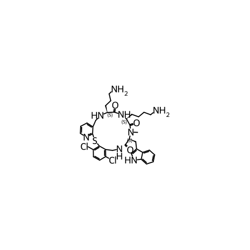 CN1C(=O)[C@H](CCCCN)NC(=O)[C@H](CCCN)NCc2cccnc2Sc2c(Cl)ccc(Cl)c2CNC(=O)[C@@H]1Cc1c[nH]c2ccccc12